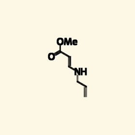 C=CCN/C=C/C(=O)OC